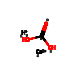 O=C(O)O.[Ca+2].[H+]